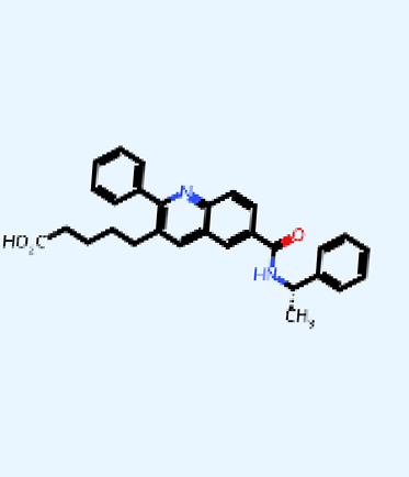 C[C@H](NC(=O)c1ccc2nc(-c3ccccc3)c(CCCCC(=O)O)cc2c1)c1ccccc1